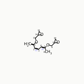 C=C(/C=C\C=C(/C)OCC1CO1)OCC1CO1